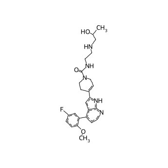 COc1ccc(F)cc1-c1ccnc2[nH]c(C3=CCN(C(=O)NCCNCC(C)O)CC3)cc12